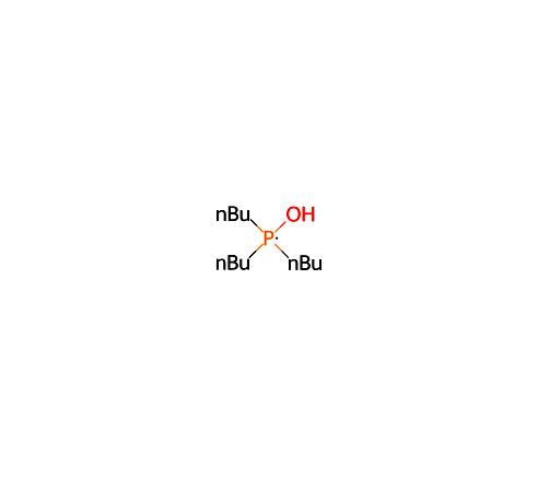 CCCC[P](O)(CCCC)CCCC